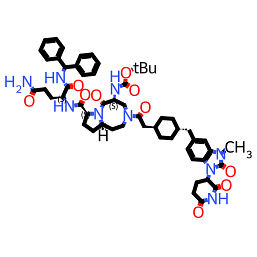 Cn1c(=O)n(C2CCC(=O)NC2=O)c2ccc(C[C@H]3CC[C@H](CC(=O)N4CC[C@H]5CC[C@@H](C(=O)N[C@@H](CCC(N)=O)C(=O)NC(c6ccccc6)c6ccccc6)N5C(=O)[C@@H](NC(=O)OC(C)(C)C)C4)CC3)cc21